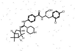 C[C@H]1[C@@H](N=C(Nc2ccc(C(=O)N[C@@H](CO)Cc3ccc(Cl)cc3Cl)cc2)N2CCN[C@@H](C)C2)C[C@@H]2C[C@@H]1C2(C)C